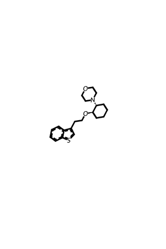 c1ccc2c(CCO[C@@H]3CCCC[C@H]3N3CCOCC3)csc2c1